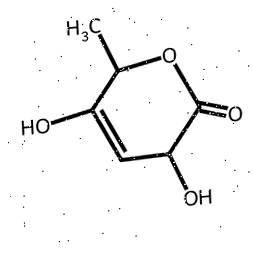 CC1OC(=O)C(O)C=C1O